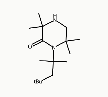 CC(C)(C)CC(C)(C)N1C(=O)C(C)(C)NCC1(C)C